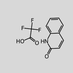 O=C(O)C(F)(F)F.O=c1ccc2ccccc2[nH]1